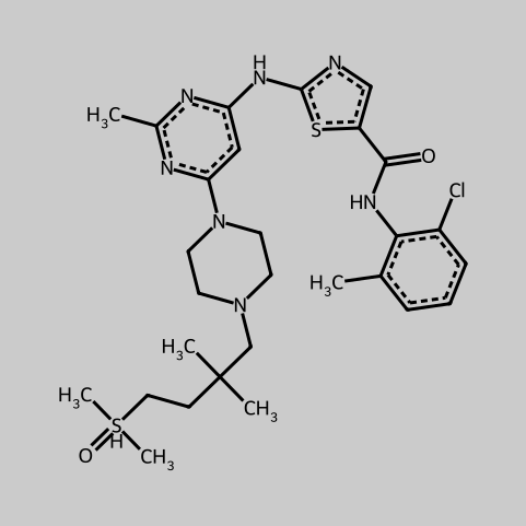 Cc1nc(Nc2ncc(C(=O)Nc3c(C)cccc3Cl)s2)cc(N2CCN(CC(C)(C)CC[SH](C)(C)=O)CC2)n1